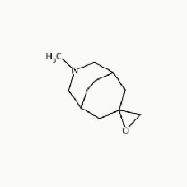 CN1CC2CCC(C1)CC1(CO1)C2